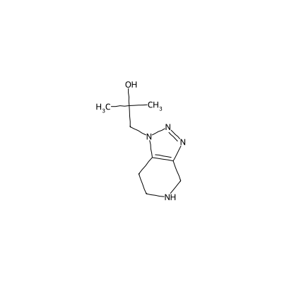 CC(C)(O)Cn1nnc2c1CCNC2